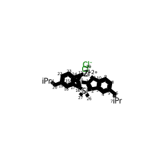 CC1=C2c3cc(CC(C)C)ccc3[CH]1[Zr+2][CH]1C(C)=C(c3cc(CC(C)C)ccc31)[Si]2(C)C.[Cl-].[Cl-]